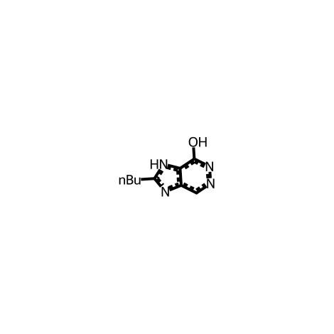 CCCCc1nc2cnnc(O)c2[nH]1